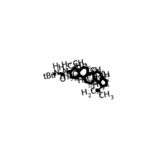 C=C(C)[C@@H]1CC[C@@H]2CC[C@]3(C)[C@H](CC[C@@H]4[C@@]5(C)CCC(NC(=O)NC(C)(C)C)C(C)(C)[C@@H]5CC[C@]43C)[C@H]21